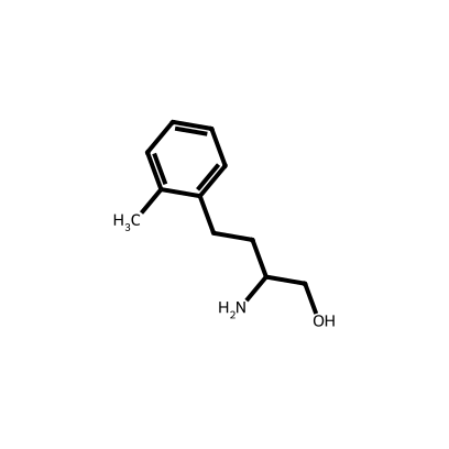 Cc1ccccc1CCC(N)CO